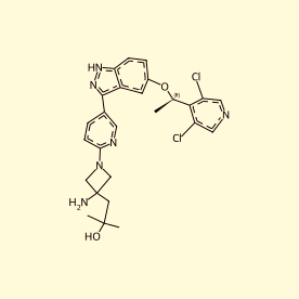 C[C@@H](Oc1ccc2[nH]nc(-c3ccc(N4CC(N)(CC(C)(C)O)C4)nc3)c2c1)c1c(Cl)cncc1Cl